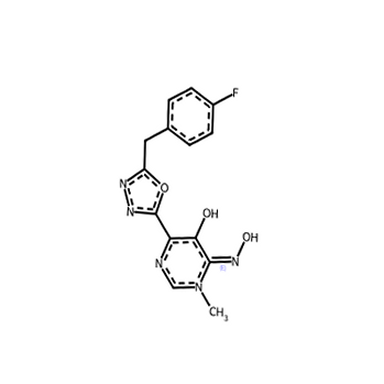 Cn1cnc(-c2nnc(Cc3ccc(F)cc3)o2)c(O)/c1=N\O